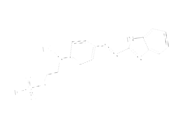 CN(CCOS(=O)(=O)O)c1ccc(N=Nc2nc3ccccc3[nH]2)cc1